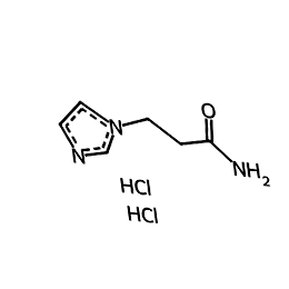 Cl.Cl.NC(=O)CCn1ccnc1